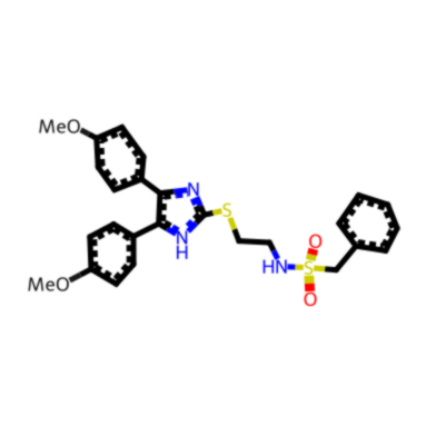 COc1ccc(-c2nc(SCCNS(=O)(=O)Cc3ccccc3)[nH]c2-c2ccc(OC)cc2)cc1